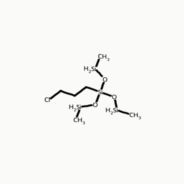 C[SiH2]O[Si](CCCCl)(O[SiH2]C)O[SiH2]C